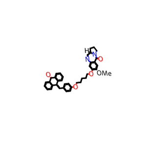 COc1cc2c(cc1OCCCCCOc1ccc(C=C3c4ccccc4C(=O)c4ccccc43)cc1)N=C[C@@H]1CCCN1C2=O